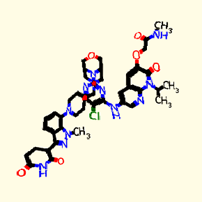 CNC(=O)COc1cc2cc(Nc3nc(N4C5COCC4CN(CC4CCN(c6cccc7c(C8CCC(=O)NC8=O)nn(C)c67)CC4)C5)ncc3Cl)cnc2n(C(C)C)c1=O